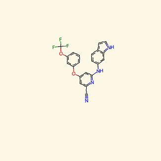 N#Cc1cc(Oc2cccc(OC(F)(F)F)c2)cc(Nc2ccc3cc[nH]c3c2)n1